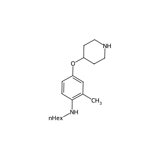 CCCCCCNc1ccc(OC2CCNCC2)cc1C